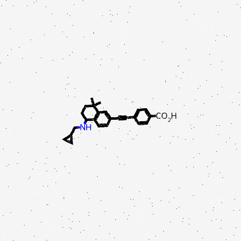 CC1(C)CCC(NCC2CC2)c2ccc(C#Cc3ccc(C(=O)O)cc3)cc21